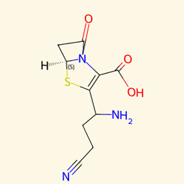 N#CCCC(N)C1=C(C(=O)O)N2C(=O)C[C@@H]2S1